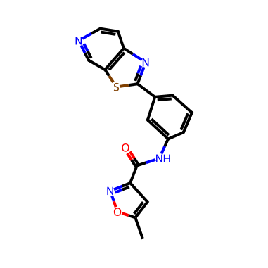 Cc1cc(C(=O)Nc2cccc(-c3nc4ccncc4s3)c2)no1